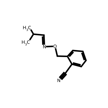 CC(C)C=NOCc1ccccc1C#N